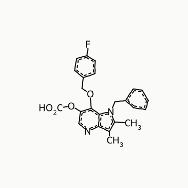 Cc1c(C)n(Cc2ccccc2)c2c(OCc3ccc(F)cc3)c(OC(=O)O)cnc12